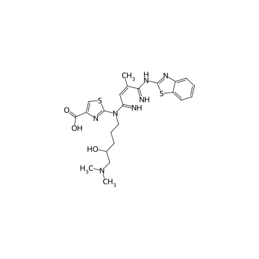 C/C(=C/C(=N)N(CCCC(O)CN(C)C)c1nc(C(=O)O)cs1)C(=N)Nc1nc2ccccc2s1